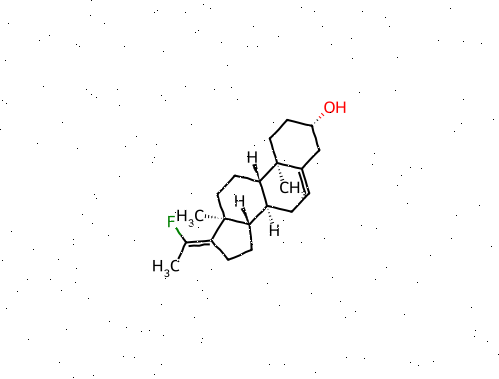 C/C(F)=C1\CC[C@H]2[C@@H]3CC=C4C[C@@H](O)CC[C@]4(C)[C@H]3CC[C@]12C